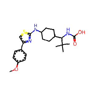 COc1ccc(-c2csc(NC3CCC(C(NC(=O)O)C(C)(C)C)CC3)n2)cc1